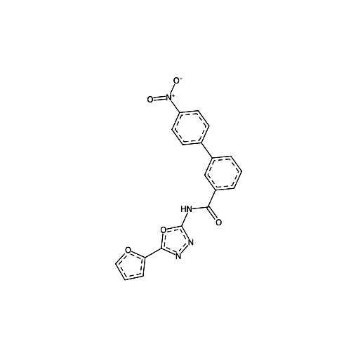 O=C(Nc1nnc(-c2ccco2)o1)c1cccc(-c2ccc([N+](=O)[O-])cc2)c1